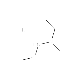 CCN(C)NOC.Cl